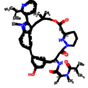 CCn1c(-c2cccnc2[C@H](C)OC)c2c3cc(ccc31)-c1cc(O)cc(c1)C[C@H](NC(=O)[C@H](C(C)C)N(C)C(=O)[C@H](C)NC)C(=O)N1CCC[C@H](N1)C(=O)OCC(C)(C)C2